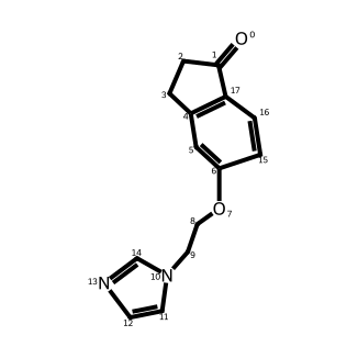 O=C1CCc2cc(OCCn3ccnc3)ccc21